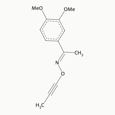 CC#CO/N=C(\C)c1ccc(OC)c(OC)c1